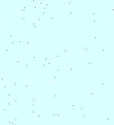 C=Cc1ccccc1OCCCN(CCCC)CCCC